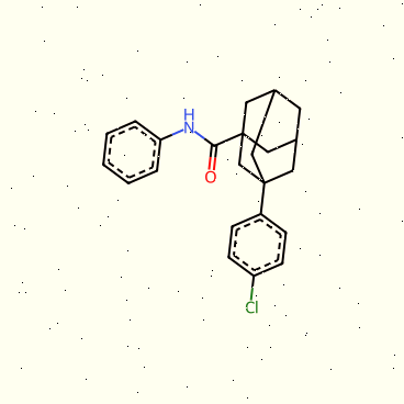 O=C(Nc1ccccc1)C12CC3CC(C1)CC(c1ccc(Cl)cc1)(C3)C2